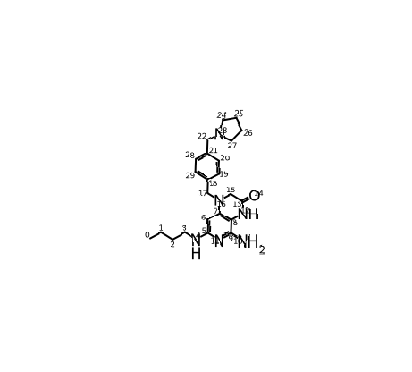 CCCCNc1cc2c(c(N)n1)NC(=O)CN2Cc1ccc(CN2CCCC2)cc1